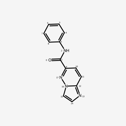 O=C(Nc1ccccc1)c1ccc2nccn2n1